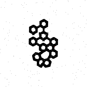 c1ccc(-c2nc(-c3ccccc3-c3cccnc3)nc(-c3ccccc3-c3cc4ccc5cccc6c7cccc8ccc9cccc(c(c3)c4c56)c9c87)n2)cc1